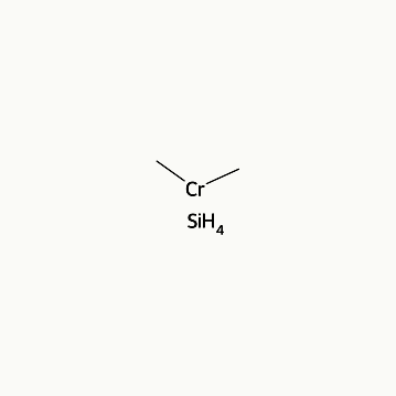 [CH3][Cr][CH3].[SiH4]